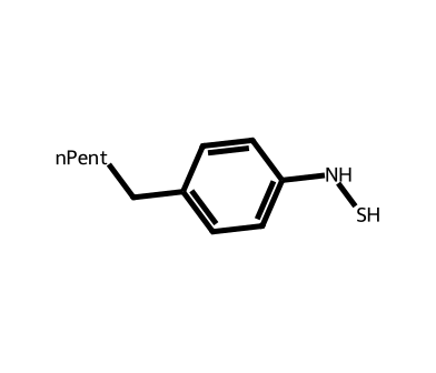 CCCCCCc1ccc(NS)cc1